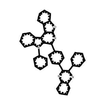 c1ccc(-c2nc3ccccc3nc2-c2ccc(-c3nc4oc5ccccc5c4c4c5ccccc5n(-c5ccccc5)c34)cc2)cc1